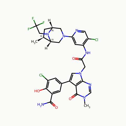 C[C@H]1C[C@@H]2CN(c3cc(NC(=O)Cn4cc(-c5cc(Cl)c(O)c(C(N)=O)c5)c5c(=O)n(C)cnc54)c(Cl)cn3)C[C@H]1N2CC(F)(F)F